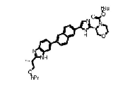 CCCOC[C@H](C)c1nc2ccc(-c3ccc4cc(-c5cnc([C@@H]6COCCN6C(=O)OC(C)(C)C)[nH]5)ccc4c3)cc2[nH]1